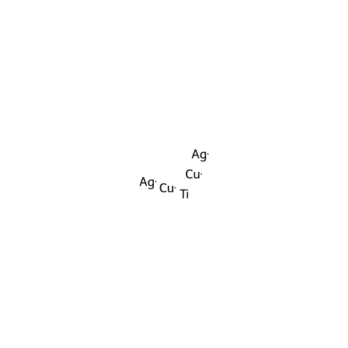 [Ag].[Ag].[Cu].[Cu].[Ti]